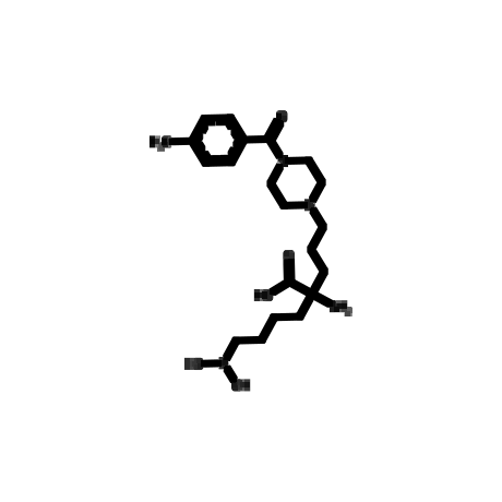 Cc1ccc(C(=O)N2CCN(CCCC(N)(CCCCB(O)O)C(=O)O)CC2)cc1